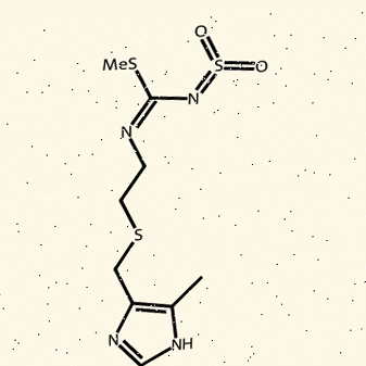 CSC(=NCCSCc1nc[nH]c1C)N=S(=O)=O